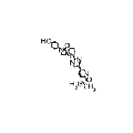 CN(C)C(=O)c1ccc(-c2cnc(N3CCC[C@]4(CCN([C@H]5CC[C@@H](O)CC5)C4=O)C3)nc2)cn1